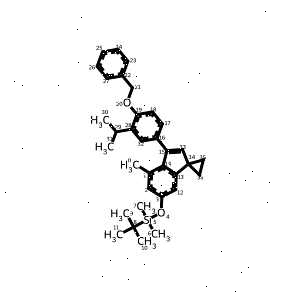 Cc1cc(O[Si](C)(C)C(C)(C)C)cc2c1C(c1ccc(OCc3ccccc3)c(C(C)C)c1)=CC21CC1